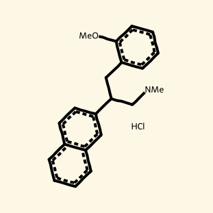 CNCC(Cc1ccccc1OC)c1ccc2ccccc2c1.Cl